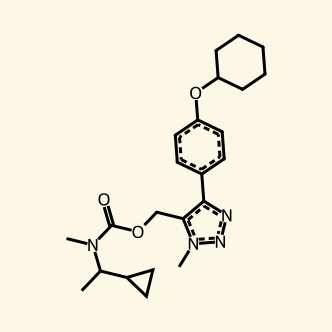 CC(C1CC1)N(C)C(=O)OCc1c(-c2ccc(OC3CCCCC3)cc2)nnn1C